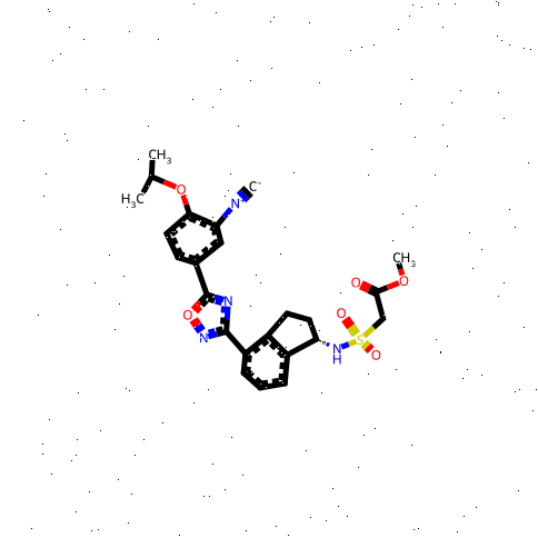 [C-]#[N+]c1cc(-c2nc(-c3cccc4c3CC[C@@H]4NS(=O)(=O)CC(=O)OC)no2)ccc1OC(C)C